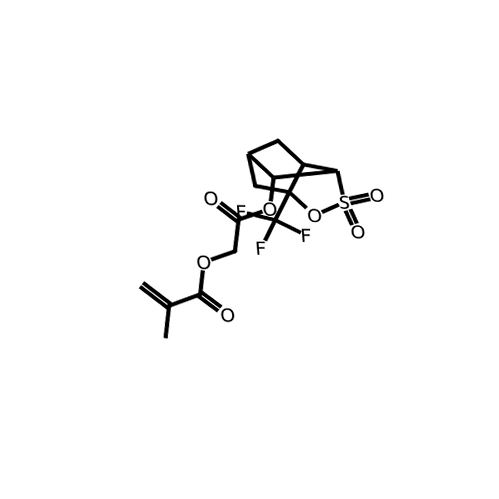 C=C(C)C(=O)OCC(=O)OC1C2CC3C1S(=O)(=O)OC3(C(F)(F)F)C2